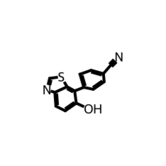 N#Cc1ccc(-c2c(O)ccc3ncsc23)cc1